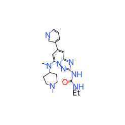 CCNC(=O)Nc1nc2cc(-c3cccnc3)cc(N(C)C3CCN(C)CC3)n2n1